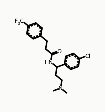 CN(C)CCC(NC(=O)CCc1ccc(C(F)(F)F)cc1)c1ccc(Cl)cc1